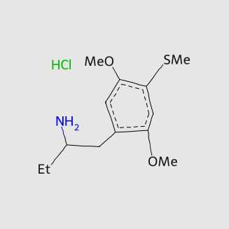 CCC(N)Cc1cc(OC)c(SC)cc1OC.Cl